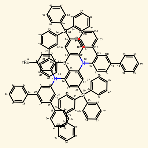 CC(C)(C)c1ccc2c(c1)N(c1cc(-c3ccccc3)cc(-c3ccccc3)c1)c1cc([Si](c3ccccc3)(c3ccccc3)c3cccc(-c4ccccc4)c3)cc3c1B2c1cc([Si](c2ccccc2)(c2ccccc2)c2cccc(-c4ccccc4)c2)ccc1N3c1ccc(-c2ccccc2)cc1-c1ccccc1